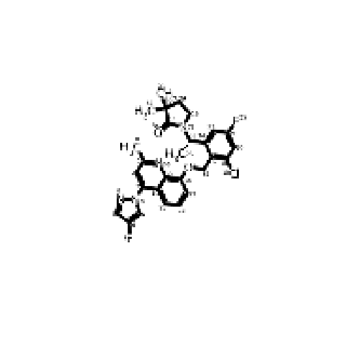 Cc1cc(-n2cc(F)cn2)c2cccc(OCc3c(Cl)cc(F)cc3[C@H](C)N3CCC(C)(C)C3=O)c2n1